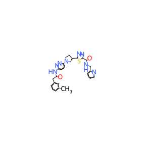 Cc1cccc(CC(=O)Nc2ccc(N3CCC(c4nnc(C(=O)NCc5ccccn5)s4)C3)nn2)c1